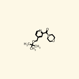 CC(C)(C)OCc1ccnc(C(=O)N2CCOCC2)c1